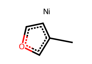 Cc1ccoc1.[Ni]